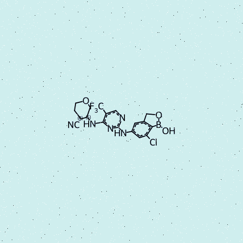 N#C[C@@H]1CCOC[C@H]1Nc1nc(Nc2cc(Cl)c3c(c2)COB3O)ncc1C(F)(F)F